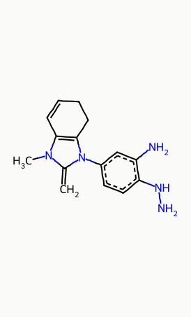 C=C1N(C)C2=C(CCC=C2)N1c1ccc(NN)c(N)c1